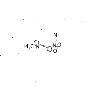 Cc1cccc(C#Cc2ccc3c(c2)N(CCC#N)C(=O)CO3)n1